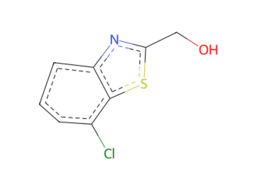 OCc1nc2cccc(Cl)c2s1